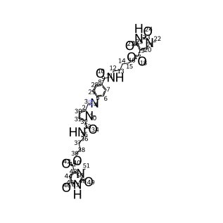 Cn1c(/C=N/c2ccc(C(=O)NCCCCOC(=O)c3cn(C)c(=O)[nH]c3=O)cc2)ccc1C(=O)NCCCCOC(=O)c1cc(=O)[nH]c(=O)n1C